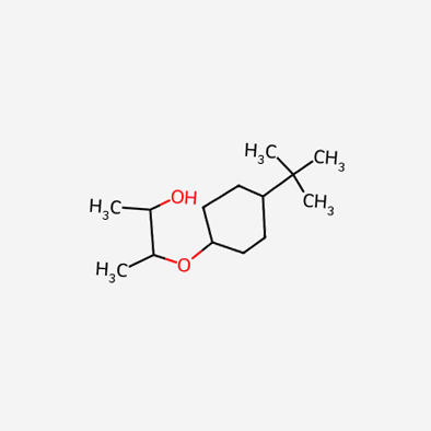 CC(O)C(C)OC1CCC(C(C)(C)C)CC1